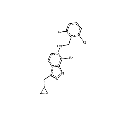 Fc1cccc(Cl)c1CNc1ccc2c(nnn2CC2CC2)c1Br